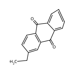 [CH2]Cc1ccc2c(c1)C(=O)c1ccccc1C2=O